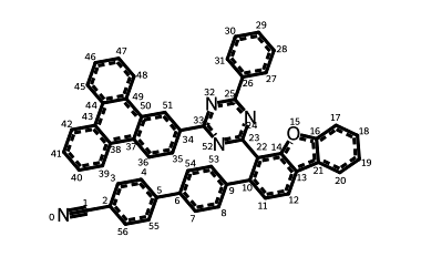 N#Cc1ccc(-c2ccc(-c3ccc4c(oc5ccccc54)c3-c3nc(-c4ccccc4)nc(-c4ccc5c6ccccc6c6ccccc6c5c4)n3)cc2)cc1